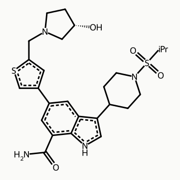 CC(C)S(=O)(=O)N1CCC(c2c[nH]c3c(C(N)=O)cc(-c4csc(CN5CC[C@H](O)C5)c4)cc23)CC1